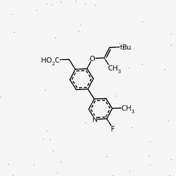 C/C(=C\C(C)(C)C)Oc1cc(-c2cnc(F)c(C)c2)ccc1CC(=O)O